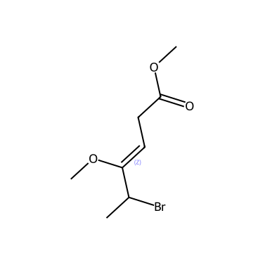 COC(=O)C/C=C(\OC)C(C)Br